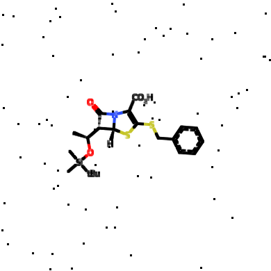 C[C@H](O[Si](C)(C)C(C)(C)C)[C@@H]1C(=O)N2C(C(=O)O)=C(SCc3ccccc3)S[C@H]12